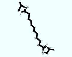 CC1COC(CCCCCCCCCCC2=NC(C)CO2)=N1